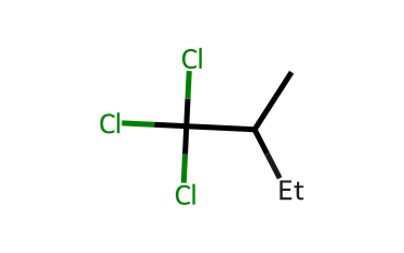 CCC(C)C(Cl)(Cl)Cl